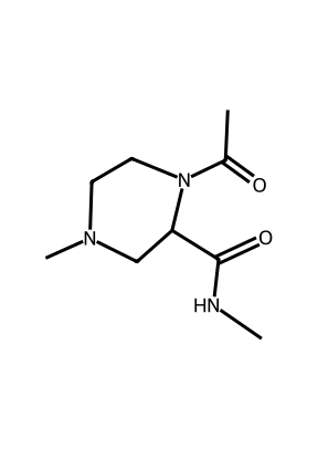 CNC(=O)C1CN(C)CCN1C(C)=O